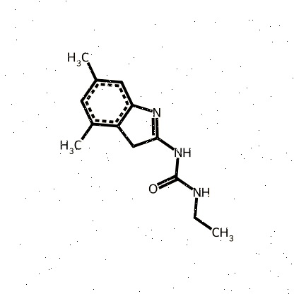 CCNC(=O)NC1=Nc2cc(C)cc(C)c2C1